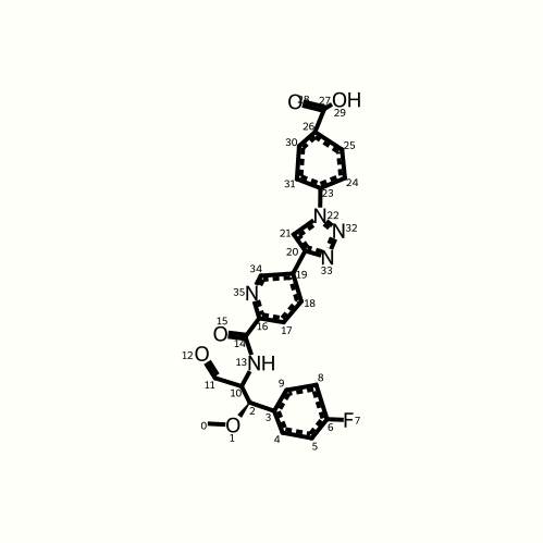 CO[C@H](c1ccc(F)cc1)C(C=O)NC(=O)c1ccc(-c2cn(-c3ccc(C(=O)O)cc3)nn2)cn1